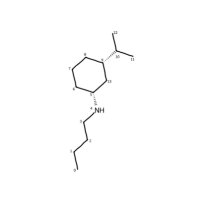 CCCCN[C@@H]1CCC[C@H](C(C)C)C1